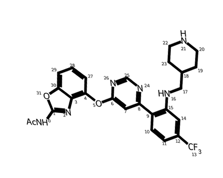 CC(=O)Nc1nc2c(Oc3cc(-c4ccc(C(F)(F)F)cc4NCC4CCNCC4)ncn3)cccc2o1